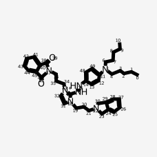 CCCCCN(CCCCC)c1ccc(NNc2n(CCCN3Cc4ccccc4C3)cc[n+]2CCCN2C(=O)c3ccccc3C2=O)cc1